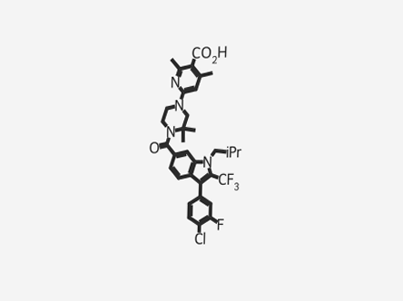 Cc1cc(N2CCN(C(=O)c3ccc4c(-c5ccc(Cl)c(F)c5)c(C(F)(F)F)n(CC(C)C)c4c3)C(C)(C)C2)nc(C)c1C(=O)O